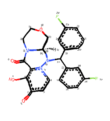 O=C1c2c(O)c(=O)ccn2N(C(c2cccc(F)c2)c2cccc(F)c2)[C@@H]2COCCN12